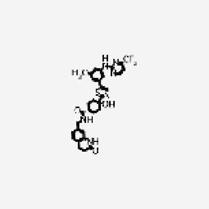 Cc1cc(Nc2nccc(C(F)(F)F)n2)cc(-c2cnc([C@]3(O)CC[C@@H](C(=O)NCc4ccc5c(c4)NC(=O)CC5)CC3)s2)c1